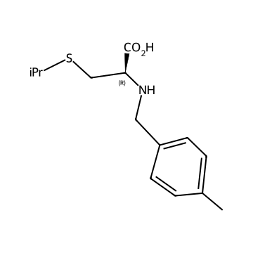 Cc1ccc(CN[C@@H](CSC(C)C)C(=O)O)cc1